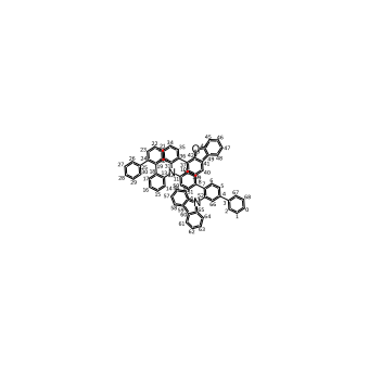 c1ccc(-c2ccc(-c3ccc(N(c4ccccc4-c4ccccc4-c4ccccc4)c4ccccc4-c4cccc5c4oc4ccccc45)cc3)c(-n3c4ccccc4c4ccccc43)c2)cc1